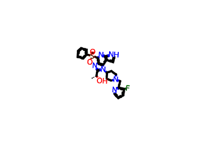 C[C@@H](O)c1nc2c(S(=O)(=O)c3ccccc3)nc3[nH]ccc3c2n1C1CCN(Cc2ncccc2F)CC1